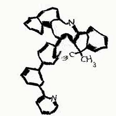 CC1(C)c2ccccc2-c2nc3ccc4ccccc4c3c(-c3ccc(-c4cccc(-c5ccccn5)c4)cc3)c21